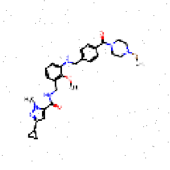 COc1c(CNC(=O)c2cc(C3CC3)nn2C)cccc1NCc1ccc(C(=O)N2CCN(SC)CC2)cc1